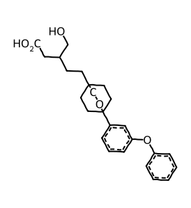 O=C(O)CC(CO)CCC12CCC(c3cccc(Oc4ccccc4)c3)(CC1)OC2